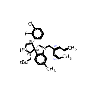 C=C/C=C(\C=C/C)CN1C[C@]2(c3ccc(C)cc31)[C@H](CC(C)(C)C)NC[C@@H]2c1cccc(Cl)c1F